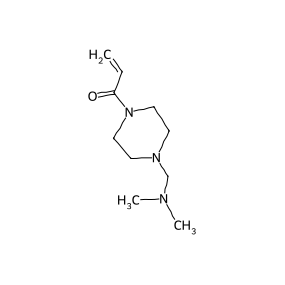 C=CC(=O)N1CCN(CN(C)C)CC1